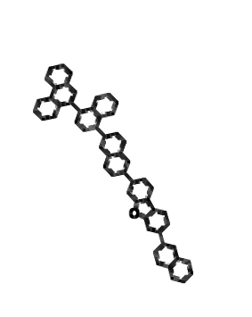 c1ccc2cc(-c3ccc4c(c3)oc3cc(-c5ccc6cc(-c7ccc(-c8cc9ccccc9c9ccccc89)c8ccccc78)ccc6c5)ccc34)ccc2c1